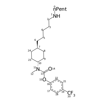 CCCCCNCCCCC[C@H]1CC[C@H](N(C)C(=O)Oc2ccc(C(F)(F)F)cc2)CC1